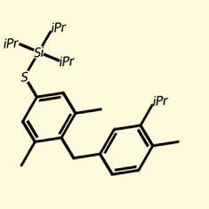 Cc1ccc(Cc2c(C)cc(S[Si](C(C)C)(C(C)C)C(C)C)cc2C)cc1C(C)C